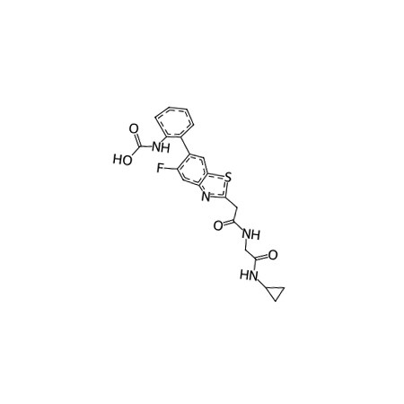 O=C(O)Nc1ccccc1-c1cc2sc(CC(=O)NCC(=O)NC3CC3)nc2cc1F